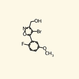 COc1ccc(F)c(-c2onc(CO)c2Br)c1